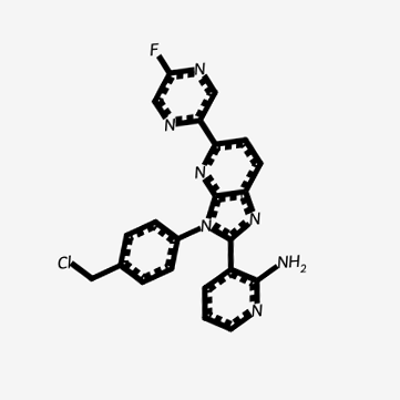 Nc1ncccc1-c1nc2ccc(-c3cnc(F)cn3)nc2n1-c1ccc(CCl)cc1